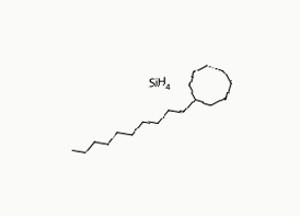 CCCCCCCCCCC1CCCCCCC1.[SiH4]